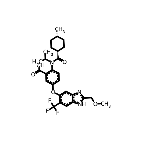 COCc1nc2cc(Oc3ccc(N(C(=O)[C@H]4CC[C@H](C)CC4)C(C)C)c(C(=O)O)c3)c(C(F)(F)F)cc2[nH]1